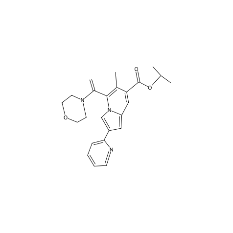 C=C(c1c(C)c(C(=O)OC(C)C)cc2cc(-c3ccccn3)cn12)N1CCOCC1